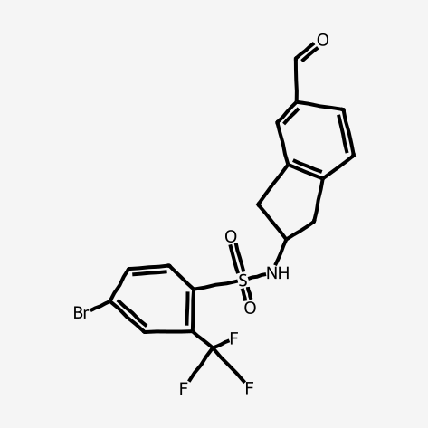 O=Cc1ccc2c(c1)CC(NS(=O)(=O)c1ccc(Br)cc1C(F)(F)F)C2